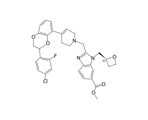 COC(=O)c1ccc2nc(CN3CC=C(c4cccc5c4OC(c4ccc(Cl)cc4F)CO5)CC3)n(C[C@@H]3CCO3)c2c1